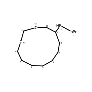 CCCPC1CCCCCCCCCCC1